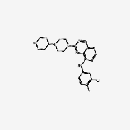 Fc1ccc(Nc2ncnc3cnc(N4CCN(C5CCNCC5)CC4)nc23)cc1Cl